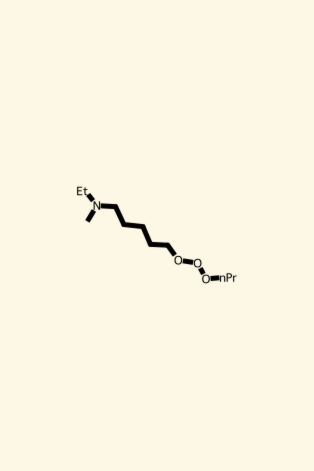 CCCOOOCCCCCN(C)CC